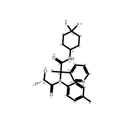 Cc1ccc(N(C(=O)[C@H](F)Cl)C(C)(C(=O)NC2CCC(F)(F)CC2)c2cccnc2)cc1